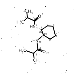 CC(C)C(=O)N[C@@H]1CCCC[C@H]1NC(=O)C(C)C